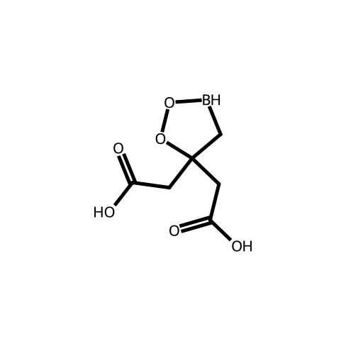 O=C(O)CC1(CC(=O)O)CBOO1